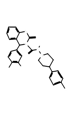 CCCN(C(=O)N1C(=O)Nc2ccccc2C1c1ccc(F)c(F)c1)N1CCC(c2ccc(F)cc2)CC1